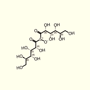 O=C([C@H](O)[C@@H](O)[C@H](O)[C@H](O)CO)[S+]([O-])C(=O)[C@H](O)[C@@H](O)[C@H](O)[C@H](O)CO